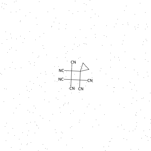 N#CC1(C#N)C(C#N)(C#N)C2(CC2)C1(C#N)C#N